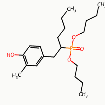 CCCCOP(=O)(OCCCC)C(CCCC)Cc1ccc(O)c(C)c1